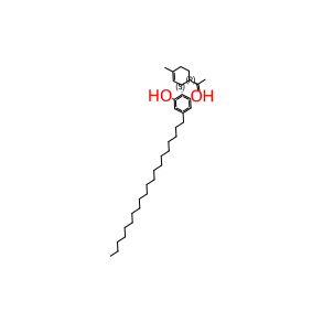 C=C(C)[C@@H]1CCC(C)=C[C@H]1c1c(O)cc(CCCCCCCCCCCCCCCCCCCC)cc1O